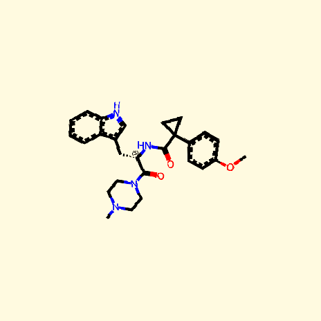 COc1ccc(C2(C(=O)N[C@@H](Cc3c[nH]c4ccccc34)C(=O)N3CCN(C)CC3)CC2)cc1